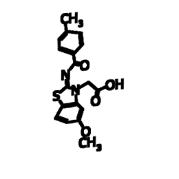 COc1ccc2sc(=NC(=O)c3ccc(C)cc3)n(CC(=O)O)c2c1